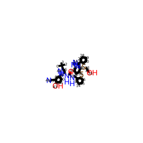 CC(C)(C)c1cc(NC(=O)NCc2ccccc2Sc2ccc3nnc(-c4ccccc4SCCO)n3c2)n(-c2ccc(O)c(C#N)c2)n1